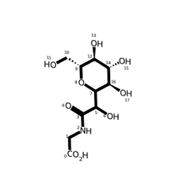 O=C(O)CNC(=O)C(O)C1O[C@H](CO)[C@@H](O)[C@H](O)[C@H]1O